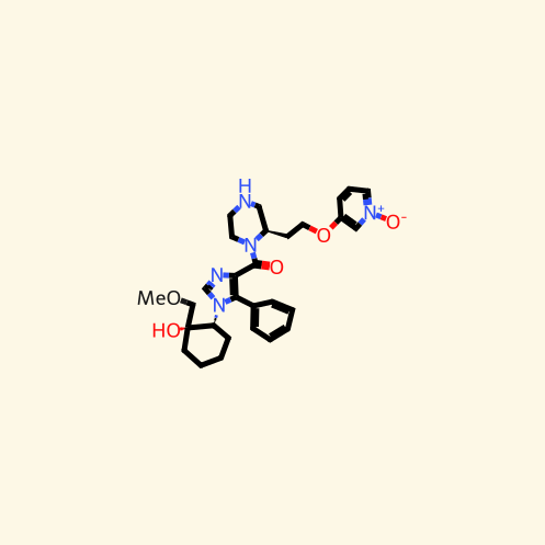 COC[C@]1(O)CCCC[C@H]1n1cnc(C(=O)N2CCNC[C@H]2CCOc2ccc[n+]([O-])c2)c1-c1ccccc1